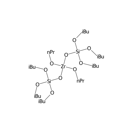 CCC[O][Zr]([O]CCC)([O][Si](OC(C)CC)(OC(C)CC)OC(C)CC)[O][Si](OC(C)CC)(OC(C)CC)OC(C)CC